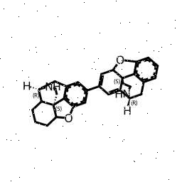 C1=C(c2cc3c4c(c2)OC2CCCC5[C@@H](C3)NCC[C@]425)C=C2[C@H]3Cc4cccc5c4[C@@]2(CCN3)C1O5